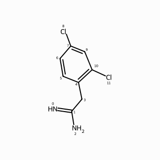 N=C(N)Cc1ccc(Cl)cc1Cl